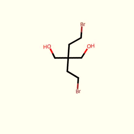 OCC(CO)(CCBr)CCBr